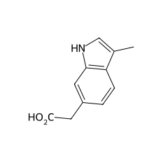 Cc1c[nH]c2cc(CC(=O)O)ccc12